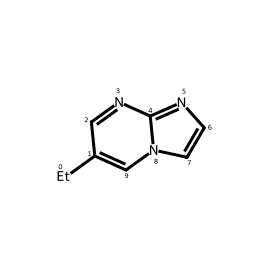 CCc1cnc2nccn2c1